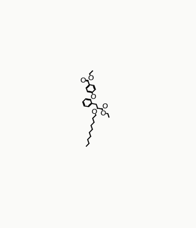 CCCCCCCCCCOC(Cc1ccccc1Oc1ccc(C(=O)OCC)cc1)C(=O)OCC